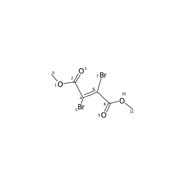 COC(=O)/C(Br)=C(\Br)C(=O)OC